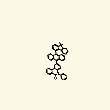 CC1(C)c2ccccc2-c2c(-c3c4ccccc4c(-c4ccc5c(c4)c4ccccc4c(=O)n5-c4ccccc4)c4ccccc34)cccc21